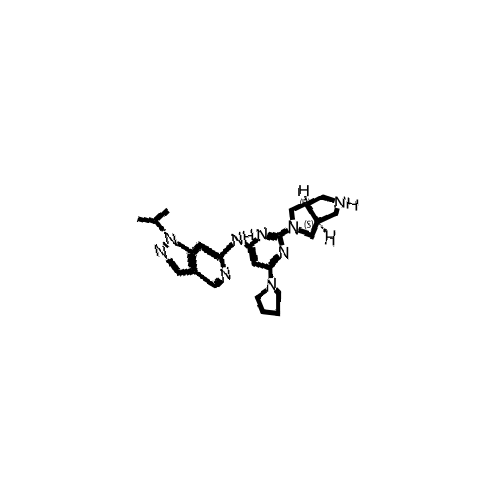 CC(C)n1ncc2cnc(Nc3cc(N4CCCC4)nc(N4C[C@H]5CNC[C@H]5C4)n3)cc21